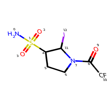 NS(=O)(=O)C1CCN(C(=O)C(F)(F)F)C1I